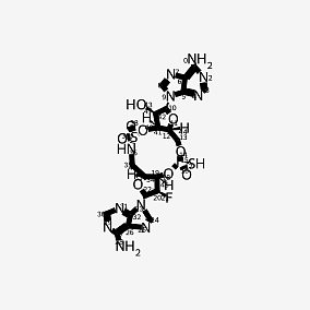 Nc1ncnc2c1ncn2[C@@H]1O[C@@H]2CO[P@](=O)(S)O[C@H]3[C@@H](F)[C@H](n4cnc5c(N)ncnc54)O[C@@H]3CNS(=O)(=O)O[C@H]2[C@H]1O